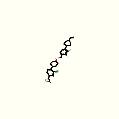 C=CC1CCC(c2ccc(COC3CCC(c4ccc(C5CO5)cc4F)CC3)c(F)c2F)CC1